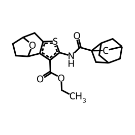 CCOC(=O)c1c(NC(=O)C23CC4CC(CC2C4)C3)sc2c1C1CCC(C2)O1